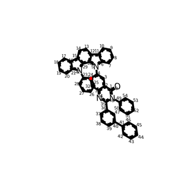 O=c1c2cc(-n3c4ccccc4c4ccc5c6ccccc6n(-c6ccccc6)c5c43)ccc2nc(-c2cccc(-c3ccccc3)c2)n1-c1ccccc1